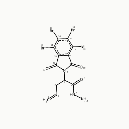 C=CCC(C(=O)NN)N1C(=O)c2c(Br)c(Br)c(Br)c(Br)c2C1=O